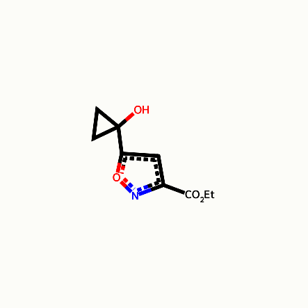 CCOC(=O)c1cc(C2(O)CC2)on1